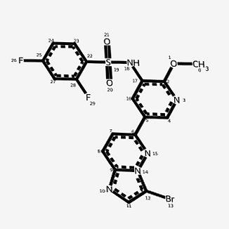 COc1ncc(-c2ccc3ncc(Br)n3n2)cc1NS(=O)(=O)c1ccc(F)cc1F